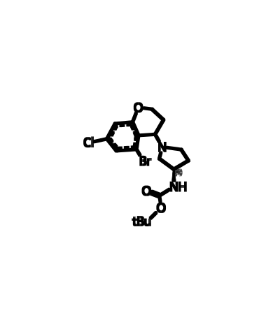 CC(C)(C)OC(=O)N[C@@H]1CCN(C2CCOc3cc(Cl)cc(Br)c32)C1